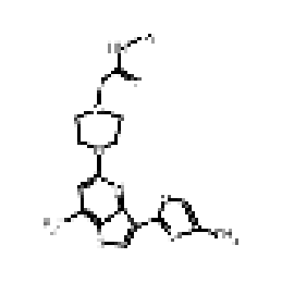 Cc1coc(-c2csc3c(C(F)(F)F)cc(N4CCN(CC(=O)NC(C)C)CC4)nc23)n1